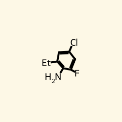 CCc1cc(Cl)cc(F)c1N